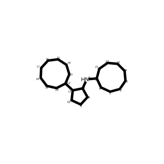 C1CCCCC(NC2CCCC2C2CCCCCCCC2)CCC1